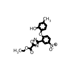 CCOC(=O)c1nc(-c2cc([N+](=O)[O-])ccc2Oc2ccc(C)cc2O)no1